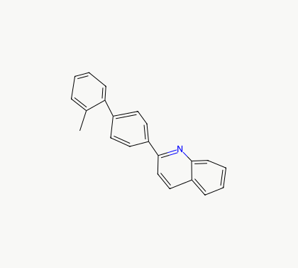 Cc1ccccc1-c1ccc(-c2ccc3ccccc3n2)cc1